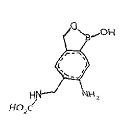 Nc1cc2c(cc1CNC(=O)O)COB2O